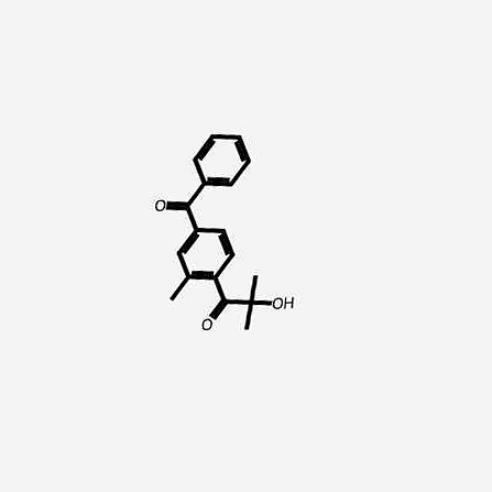 Cc1cc(C(=O)c2ccccc2)ccc1C(=O)C(C)(C)O